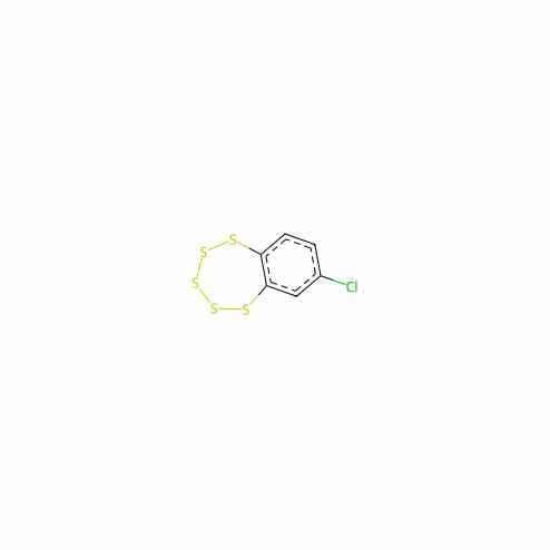 Clc1ccc2c(c1)SSSSS2